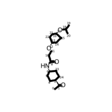 CC(=O)[C@H]1CC[C@H](NC(=O)CCO[C@H]2CC[C@@H](OC(C)C)CC2)CC1